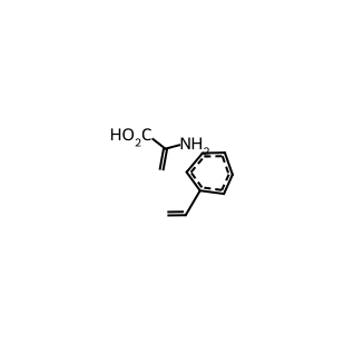 C=C(N)C(=O)O.C=Cc1ccccc1